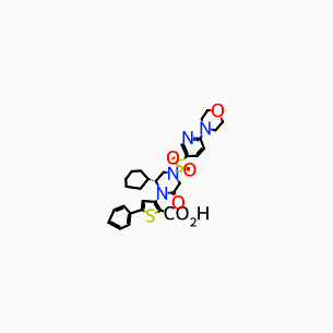 O=C(O)c1sc(-c2ccccc2)cc1N1C(=O)CN(S(=O)(=O)c2ccc(N3CCOCC3)nc2)C[C@H]1C1CCCCC1